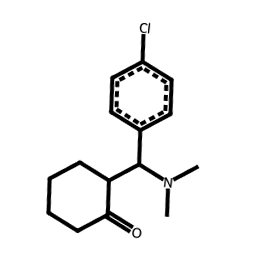 CN(C)C(c1ccc(Cl)cc1)C1CCCCC1=O